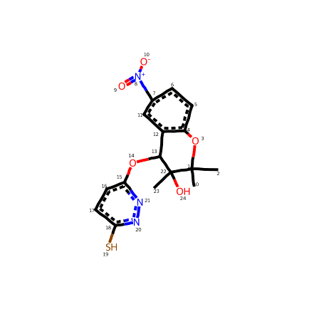 CC1(C)Oc2ccc([N+](=O)[O-])cc2C(Oc2ccc(S)nn2)C1(C)O